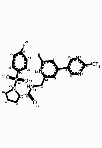 Cc1cc(-c2cnc(C(F)(F)F)nc2)cc(CNC(=O)[C@@H]2CCCN2S(=O)(=O)c2ccc(F)cc2)n1